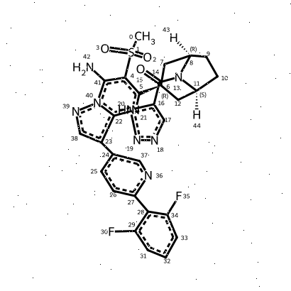 CS(=O)(=O)c1c([C@H]2C[C@H]3CC[C@@H](C2)N3C(=O)c2cnn[nH]2)nc2c(-c3ccc(-c4c(F)cccc4F)nc3)cnn2c1N